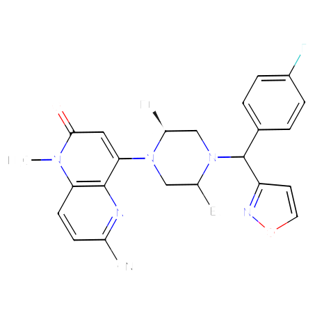 CCC1CN(c2cc(=O)n(C)c3ccc(C#N)nc23)[C@@H](CC)CN1C(c1ccc(F)cc1)c1ccon1